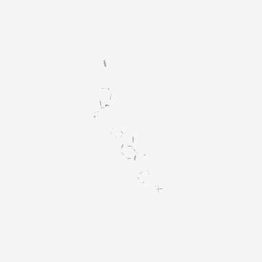 C=CCCOc1ccc(COc2ccc(-c3ccc(-c4ccc(C(O)CCC)cc4)c(F)c3F)cc2)c(F)c1